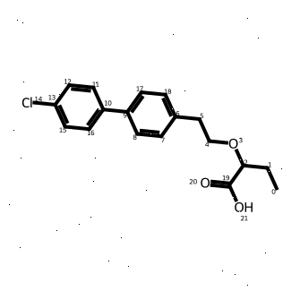 CCC(OCCc1ccc(-c2ccc(Cl)cc2)cc1)C(=O)O